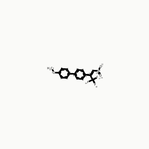 COc1ccc(-c2ccc(/C(=C/[N+](=O)[O-])C(F)(F)F)cc2)cc1